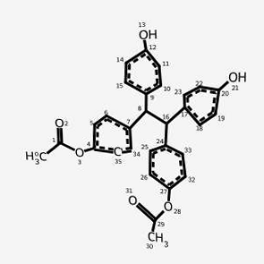 CC(=O)Oc1ccc(C(c2ccc(O)cc2)C(c2ccc(O)cc2)c2ccc(OC(C)=O)cc2)cc1